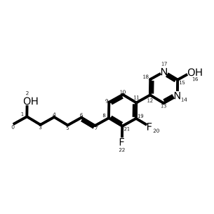 CC(O)CCC/C=C/c1ccc(-c2cnc(O)nc2)c(F)c1F